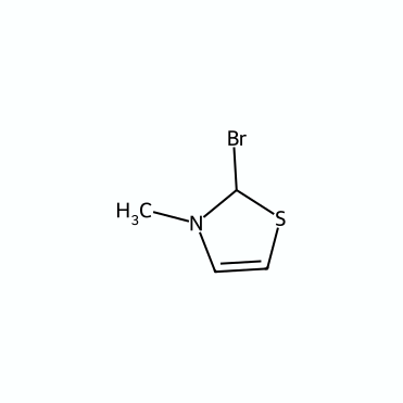 CN1C=CSC1Br